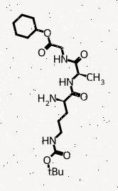 C[C@@H](NC(=O)[C@H](N)CCCNC(=O)OC(C)(C)C)C(=O)NCC(=O)OC1CCCCC1